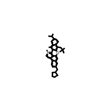 Cc1c2c(c(CC(C)(C)C)c3ccc(C(C)C)cc13)Oc1cc3cc(CC4CCCC4)ccc3c3cc[n+](C)c-2c13